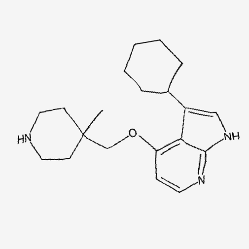 CC1(COc2ccnc3[nH]cc(C4CCCCC4)c23)CCNCC1